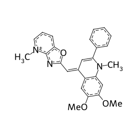 COc1cc2c(cc1OC)N(C)C(c1ccccc1)=C/C2=C\c1nc2c(ccc[n+]2C)o1